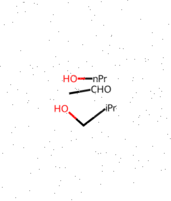 CC(C)CO.CC=O.CCCO